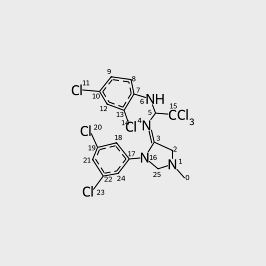 CN1CC(=NC(Nc2ccc(Cl)cc2Cl)C(Cl)(Cl)Cl)N(c2cc(Cl)cc(Cl)c2)C1